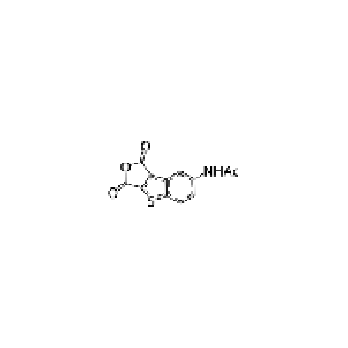 CC(=O)Nc1ccc2sc3c(c2c1)C(=O)OC3=O